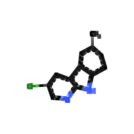 Cc1ccc2[nH]c3ncc(Cl)cc3c2c1